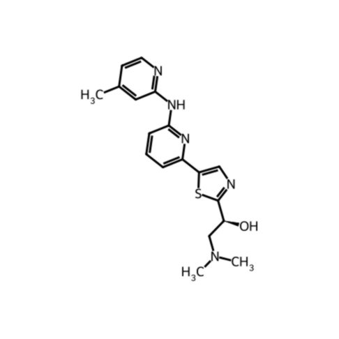 Cc1ccnc(Nc2cccc(-c3cnc([C@@H](O)CN(C)C)s3)n2)c1